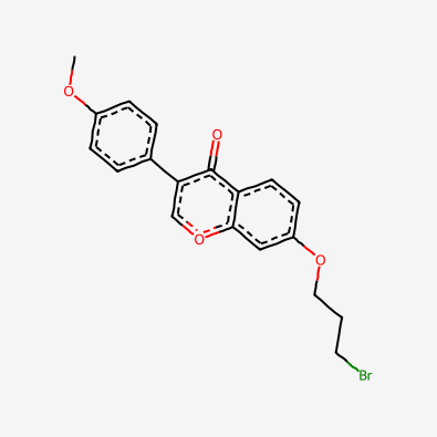 COc1ccc(-c2coc3cc(OCCCBr)ccc3c2=O)cc1